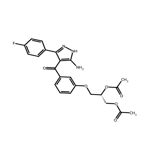 CC(=O)OC[C@H](COc1cccc(C(=O)c2c(-c3ccc(F)cc3)n[nH]c2N)c1)OC(C)=O